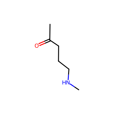 CNCCCC(C)=O